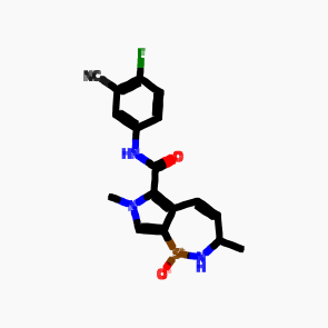 CC1C=Cc2c(cn(C)c2C(=O)Nc2ccc(F)c(C#N)c2)[S+]([O-])N1